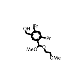 COCCOC(OC)c1cc(CO)c(C(C)C)cc1C(C)C